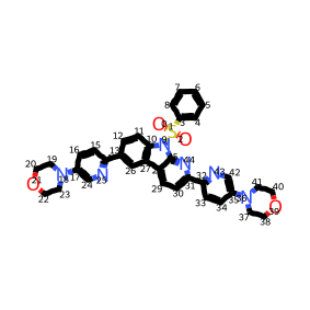 O=S(=O)(c1ccccc1)n1c2ccc(-c3ccc(N4CCOCC4)cn3)cc2c2ccc(-c3ccc(N4CCOCC4)cn3)nc21